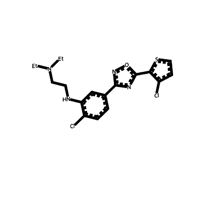 CCN(CC)CCNc1cc(-c2noc(-c3sccc3Cl)n2)ccc1Cl